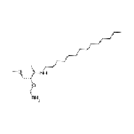 BCO[C@H](COC)C(C)NCCCCCCCCCCCCCC